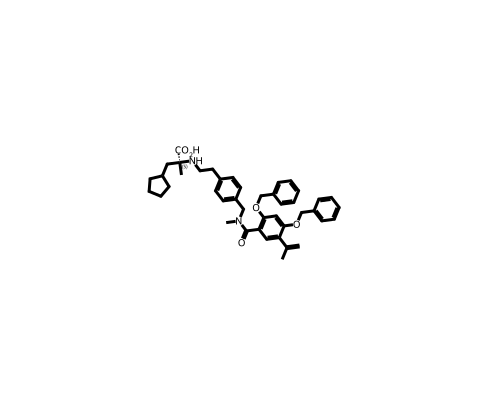 C=C(C)c1cc(C(=O)N(C)Cc2ccc(CCN[C@@](C)(CC3CCCC3)C(=O)O)cc2)c(OCc2ccccc2)cc1OCc1ccccc1